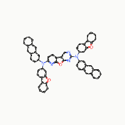 c1ccc2cc3cc(N(c4ccc5c(c4)oc4ccccc45)c4ccc5c(n4)oc4nc(N(c6ccc7cc8ccccc8cc7c6)c6ccc7c(c6)oc6ccccc67)ncc45)ccc3cc2c1